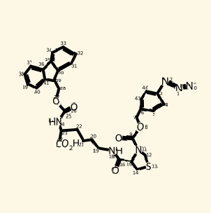 [N-]=[N+]=Nc1ccc(COC(=O)N2CSC[C@H]2C(=O)NCCCCC(NC(=O)OCC2c3ccccc3-c3ccccc32)C(=O)O)cc1